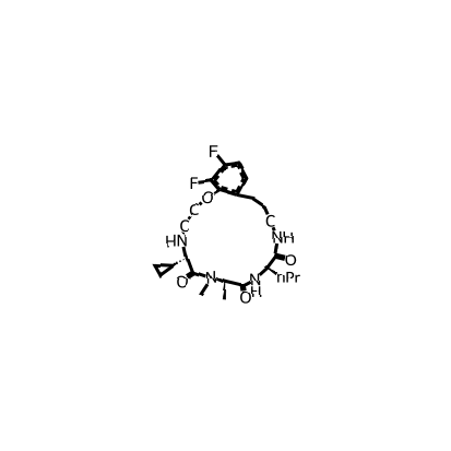 CCC[C@H]1NC(=O)[C@@H](C)N(C)C(=O)[C@H](C2CC2)NCCOc2c(ccc(F)c2F)CCCNC1=O